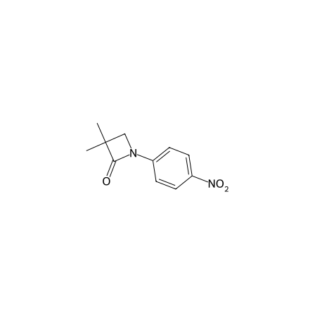 CC1(C)CN(c2ccc([N+](=O)[O-])cc2)C1=O